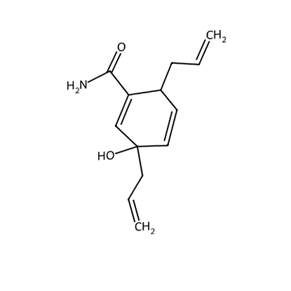 C=CCC1C=CC(O)(CC=C)C=C1C(N)=O